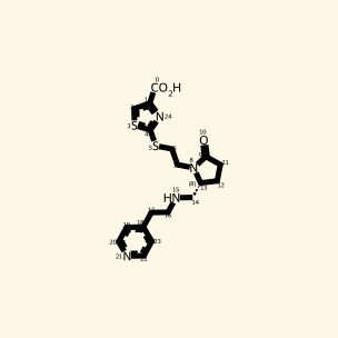 O=C(O)c1csc(SCCN2C(=O)CC[C@@H]2CNCCc2ccncc2)n1